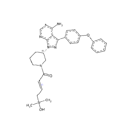 C[Si](C)(O)C/C=C/C(=O)N1CCC[C@H](n2nc(-c3ccc(Oc4ccccc4)cc3)c3c(N)ncnc32)C1